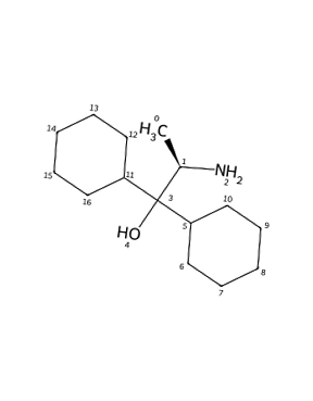 C[C@@H](N)C(O)(C1CCCCC1)C1CCCCC1